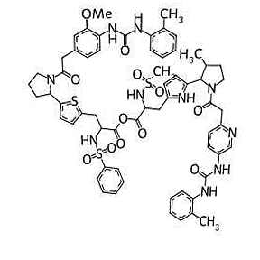 COc1cc(CC(=O)N2CCCC2c2ccc(CC(NS(=O)(=O)c3ccccc3)C(=O)OC(=O)C(Cc3ccc(C4C(C)CCN4C(=O)Cc4ccc(NC(=O)Nc5ccccc5C)cn4)[nH]3)NS(C)(=O)=O)s2)ccc1NC(=O)Nc1ccccc1C